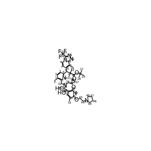 Cc1ccc(C(c2ccn3c(C(F)(F)F)nnc3c2C)C(C)(C)C(=O)OC(C)(C)C)nc1CN1CC2(CC2)Oc2nc(OCCN3CCCC3)c(C)cc2S1(O)O